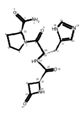 NC(=O)[C@@H]1CCCN1C(=O)[C@H](Cc1cnc[nH]1)NC(=O)[C@@H]1CC(=O)N1